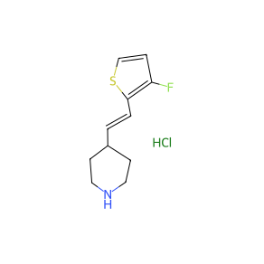 Cl.Fc1ccsc1C=CC1CCNCC1